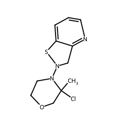 CC1(Cl)COCCN1N1Cc2ncccc2S1